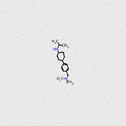 CC(C)NC1CCC(c2ccc(CN(C)C)cc2)CC1